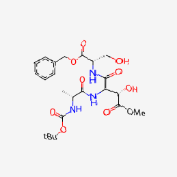 COC(=O)[C@@H](O)C(NC(=O)[C@@H](C)NC(=O)OC(C)(C)C)C(=O)N[C@@H](CO)C(=O)OCc1ccccc1